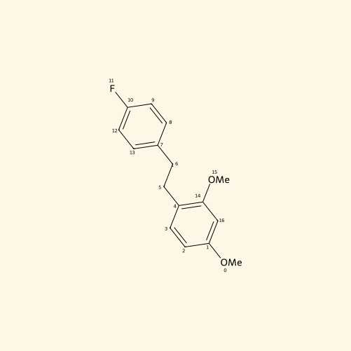 COc1ccc(C[CH]c2ccc(F)cc2)c(OC)c1